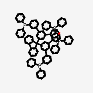 c1ccc(P(c2ccccc2)c2cccc(-c3cc(-c4cccc(P(c5ccccc5)c5ccccc5)c4)cc(C4(c5cc(-c6cccc(P(c7ccccc7)c7ccccc7)c6)cc(-c6cccc(P(c7ccccc7)c7ccccc7)c6)c5)c5ccccc5-c5ccccc54)c3)c2)cc1